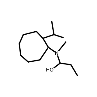 CCC(O)N(C)C1CCCCCCC1C(C)C